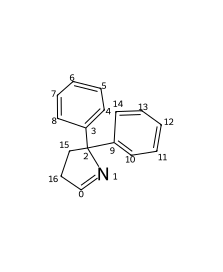 C1=NC(c2ccccc2)(c2ccccc2)CC1